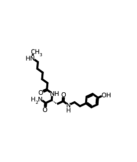 CNCCCCCC(=O)N[C@H](CC(=O)NCCc1ccc(O)cc1)C(N)=O